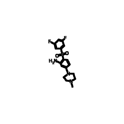 CN1CCN(c2ccc(S(=O)(=O)c3cc(F)cc(F)c3)c(N)c2)CC1